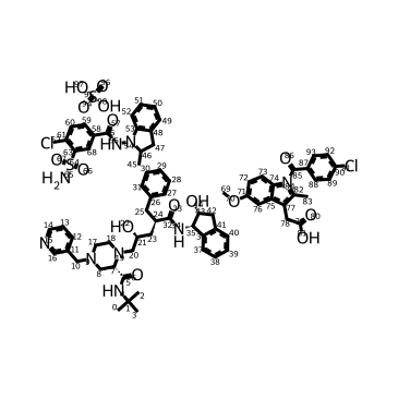 CC(C)(C)NC(=O)[C@@H]1CN(Cc2cccnc2)CCN1C[C@@H](O)C[C@@H](Cc1ccccc1)C(=O)N[C@H]1c2ccccc2C[C@H]1O.CC1Cc2ccccc2N1NC(=O)c1ccc(Cl)c(S(N)(=O)=O)c1.COc1ccc2c(c1)c(CC(=O)O)c(C)n2C(=O)c1ccc(Cl)cc1.O=S(=O)(O)O